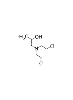 [CH2]C(O)CN(CCCl)CCCl